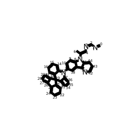 C=N/C=N\C=C(/C)n1c2ccc(N3c4ccccc4C4(c5ccccc5-c5ccccc54)c4ccccc43)cc2c2ncccc21